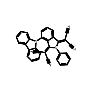 N#CC(C#N)=c1c2cccc(-n3c4ccccc4c4ccccc43)c2c(=C(C#N)C#N)n1-c1ccccc1